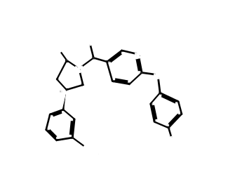 O=C(O)c1cccc([C@H]2CC(S)N(C(S)c3ccc(Oc4ccc(F)cc4)nc3)C2)c1